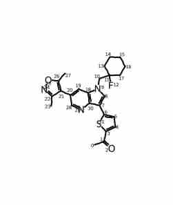 CC(=O)c1ccc(-c2cn(CC3(F)CCCCC3)c3cc(-c4c(C)noc4C)cnc23)s1